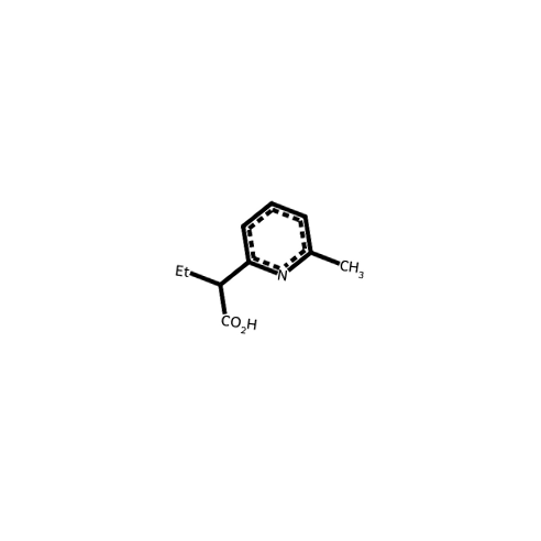 CCC(C(=O)O)c1cccc(C)n1